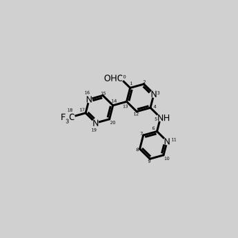 O=Cc1cnc(Nc2ccccn2)cc1-c1cnc(C(F)(F)F)nc1